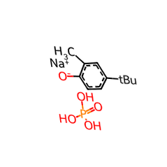 Cc1cc(C(C)(C)C)ccc1[O-].O=P(O)(O)O.[Na+]